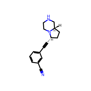 N#Cc1cccc(C#C[C@H]2CC[C@H]3CNCCN32)c1